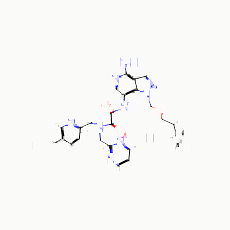 C[Si](C)(C)CCOCn1ncc2c(N)ncc(NC(=O)C(=O)N(Cc3ccc(C(F)(F)F)cn3)Cc3ncccn3)c21